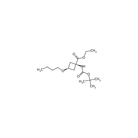 CCCCO[C@H]1C[C@](NC(=O)OC(C)(C)C)(C(=O)OCC)C1